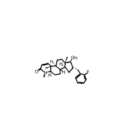 CN1C(=O)C=C[C@]2(C)[C@H]3CC[C@]4(C)[C@@H](O)[C@H](Cc5ccccc5F)C[C@H]4[C@@H]3CC[C@@H]12